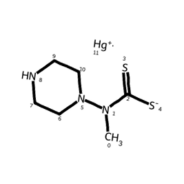 CN(C(=S)[S-])N1CCNCC1.[Hg+]